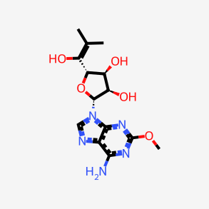 COc1nc(N)c2ncn([C@@H]3O[C@H](C(O)=C(C)C)[C@@H](O)[C@H]3O)c2n1